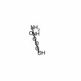 NCCC(=O)NCCOCCOCCOCCO